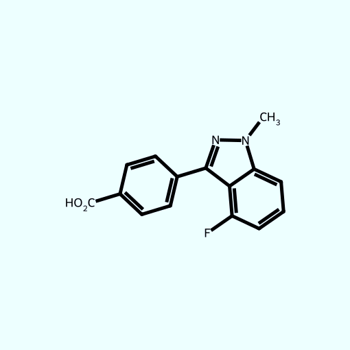 Cn1nc(-c2ccc(C(=O)O)cc2)c2c(F)cccc21